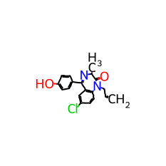 C=CCN1C(=O)C(C)N=C(c2ccc(O)cc2)c2cc(Cl)ccc21